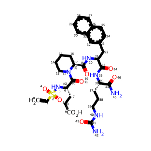 C=CS(=O)(=O)N[C@@H](CCC(=O)O)C(=O)N1CCCC[C@H]1C(=O)NC(Cc1ccc2ccccc2c1)C(=O)N[C@@H](CCCNC(N)=O)C(N)=O